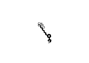 COC(=O)CC(=O)CCC/C=C/c1cccc(-c2ccsc2)c1